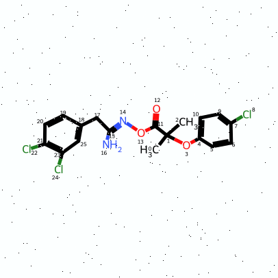 CC(C)(Oc1ccc(Cl)cc1)C(=O)O/N=C(\N)Cc1ccc(Cl)c(Cl)c1